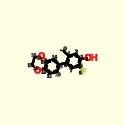 [CH2]c1cc(O)c(F)cc1-c1ccc2c(c1)OCCO2